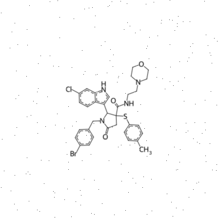 Cc1ccc(SC2(C(=O)NCCN3CCOCC3)CC(=O)N(Cc3ccc(Br)cc3)C2c2c[nH]c3cc(Cl)ccc23)cc1